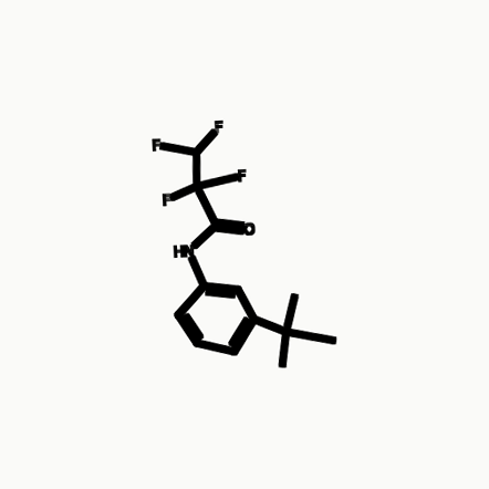 CC(C)(C)c1cccc(NC(=O)C(F)(F)C(F)F)c1